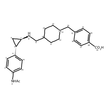 CC(=O)Nc1ccc([C@@H]2C[C@H]2NCC2CCN(Cc3ccc(C(=O)O)cc3)CC2)cc1